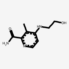 Cc1c(NCCO)ccnc1C(N)=O